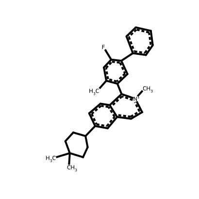 Cc1cc(F)c(-c2ccccc2)cc1-c1c2ccc(C3CCC(C)(C)CC3)cc2cc[n+]1C